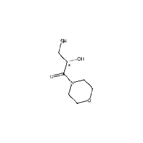 O=C([C@@H](O)CS)N1CCOCC1